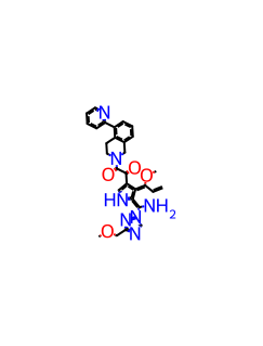 C=C/C(OC)=c1/c(C(=O)C(=O)N2CCc3c(cccc3-c3ccccn3)C2)c[nH]/c1=C(/N)n1cnc(COC)n1